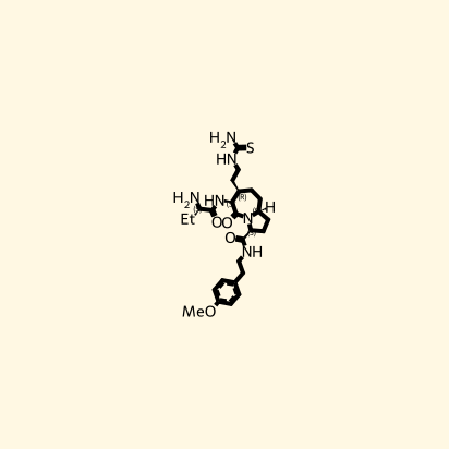 CC[C@H](N)C(=O)N[C@@H]1C(=O)N2[C@@H](CC[C@@H]1CCNC(N)=S)CC[C@H]2C(=O)NCCc1ccc(OC)cc1